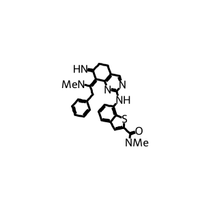 CNC(=O)c1cc2cccc(Nc3ncc4c(n3)/C(=C(\Cc3ccccc3)NC)C(=N)CC4)c2s1